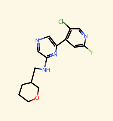 Fc1cc(-c2cncc(NCC3CCCOC3)n2)c(Cl)cn1